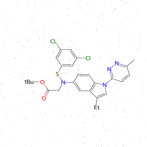 CCc1cn(-c2ccc(C)nn2)c2ccc(N(CC(=O)OC(C)(C)C)Sc3cc(Cl)cc(Cl)c3)cc12